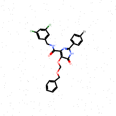 CCc1ccc(-c2nc(C(=O)NCc3cc(Cl)cc(Cl)c3)c(OCOCc3ccccc3)c(=O)[nH]2)cc1